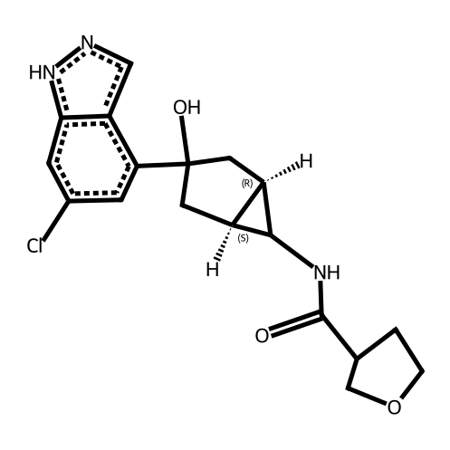 O=C(NC1[C@H]2CC(O)(c3cc(Cl)cc4[nH]ncc34)C[C@@H]12)C1CCOC1